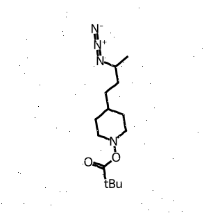 CC(CCC1CCN(OC(=O)C(C)(C)C)CC1)N=[N+]=[N-]